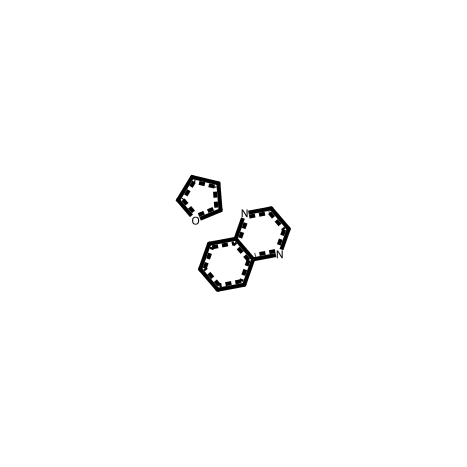 c1ccc2nccnc2c1.c1ccoc1